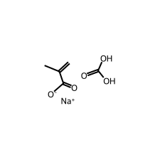 C=C(C)C(=O)[O-].O=C(O)O.[Na+]